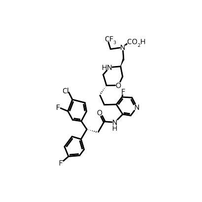 O=C(C[C@H](c1ccc(F)cc1)c1ccc(Cl)c(F)c1)Nc1cncc(F)c1CC[C@@H]1CN[C@@H](CN(CC(F)(F)F)C(=O)O)CO1